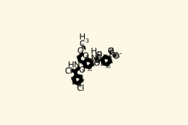 CCOC(=O)CC(NC(=O)C(Cl)c1ccc(Cl)cc1)c1cccc(NS(=O)(=O)c2cccc([N+](=O)[O-])c2)c1